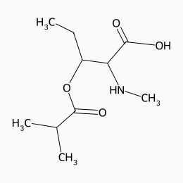 CCC(OC(=O)C(C)C)C(NC)C(=O)O